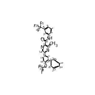 CCC(F)(F)c1cccc(NC(=O)c2ncc(-c3ccc(OC(F)F)c(-c4ccccc4)c3)nc2C)c1